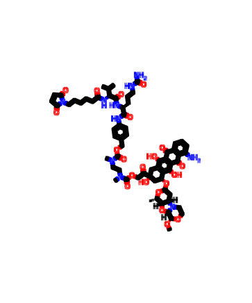 CO[C@H]1OCCN2[C@@H]1O[C@@H]1[C@H](C)OC(O[C@H]3C[C@](O)(C(=O)COC(=O)N(C)CCN(C)C(=O)OCc4ccc(NC(=O)[C@H](CCCNC(N)=O)NC(=O)[C@@H](NC(=O)CCCCCN5C(=O)C=CC5=O)C(C)C)cc4)Cc4c(O)c5c(c(O)c43)C(=O)c3c(N)cccc3C5=O)C[C@@H]12